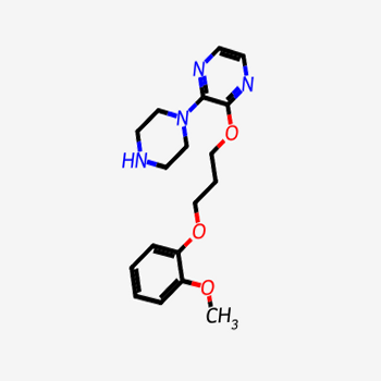 COc1ccccc1OCCCOc1nccnc1N1CCNCC1